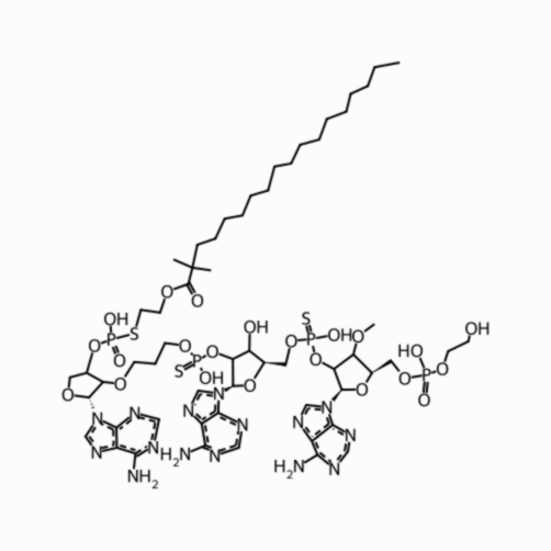 CCCCCCCCCCCCCCCCC(C)(C)C(=O)OCCSP(=O)(O)OC1CO[C@@H](n2cnc3c(N)ncnc32)C1OCCCOP(O)(=S)OC1C(O)[C@@H](COP(O)(=S)OC2C(OC)[C@@H](COP(=O)(O)OCCO)O[C@H]2n2cnc3c(N)ncnc32)O[C@H]1n1cnc2c(N)ncnc21